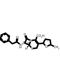 CC1CCC(C2=C(C(=O)O)N3C(=O)[C@@H](NC(=O)Cc4ccccc4)[C@H]3SC2)O1